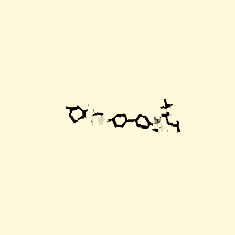 CC(C)[C@H](NS(=O)(=O)c1ccc(-c2ccc(NC(=O)c3nc4cc(Cl)ccc4s3)cc2)cc1)C(=O)OC(C)(C)C